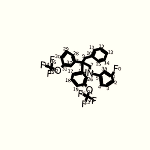 Fc1cccc(NCC(Cc2ccccc2)(c2cccc(OC(F)(F)F)c2)c2cccc(OC(F)(F)F)c2)c1